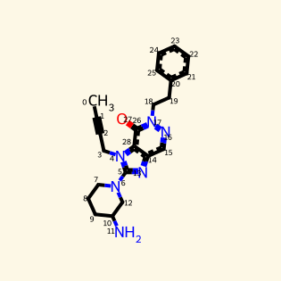 CC#CCn1c(N2CCCC(N)C2)nc2cnn(CCc3ccccc3)c(=O)c21